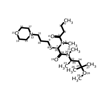 CCCC(=O)N(C)[C@H](SCCCN1CCOCC1)C(=O)N(C)[C@H](C)CC(C)(C)OC